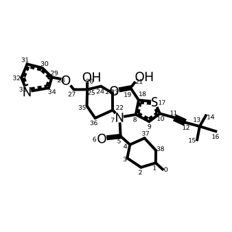 CC1CCC(C(=O)N(c2cc(C#CC(C)(C)C)sc2C(=O)O)C2CCC(O)(COc3cccnc3)CC2)CC1